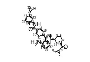 CC1CC1C(=O)N1CCCC(c2nc(C3C=CC(C(=O)Nc4cc(C5CC5)ccn4)=CC3)c3c(N)nccn23)C1